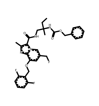 CCC(C)(CNC(=O)c1c(C)nc2c(OCc3c(F)cccc3F)cc(CF)cn12)NC(=O)OCc1ccccc1